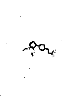 CCOc1cccc(-c2ccc(CCC(=O)Cl)cc2)c1OCC